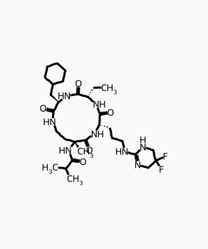 CC[C@@H]1NC(=O)[C@H](CCCNC2=NCC(F)(F)CN2)NC(=O)[C@](C)(NC(=O)C(C)C)CCNC(=O)[C@@H](CC2CCCCC2)NC1=O